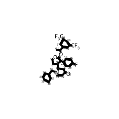 CC(OC1OCCC(C2CC(=O)C=CN2Cc2ccccc2)C1c1ccc(F)cc1)c1cc(C(F)(F)F)cc(C(F)(F)F)c1